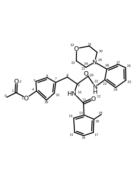 CC(=O)Oc1ccc(CC(NC(=O)c2ccccc2C)C(=O)Nc2ccccc2N2CCOCC2)cc1